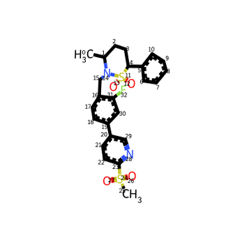 CC1CCC(c2ccccc2)S(=O)(=O)N1Cc1ccc(-c2ccc(S(C)(=O)=O)nc2)cc1F